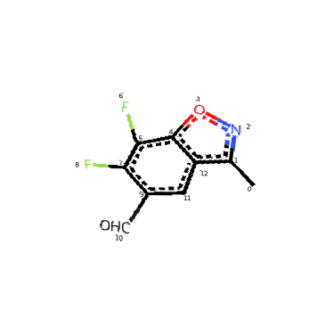 Cc1noc2c(F)c(F)c(C=O)cc12